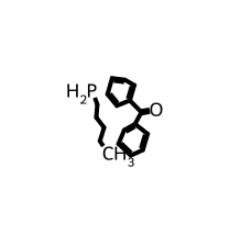 CCCCCP.O=C(c1ccccc1)c1ccccc1